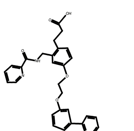 O=C(O)CCc1ccc(OCCOc2cccc(-c3ccccc3)c2)cc1CNC(=O)c1ccccn1